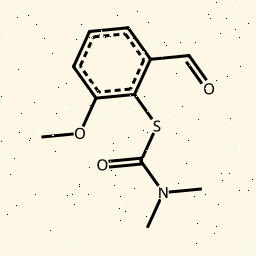 COc1cccc(C=O)c1SC(=O)N(C)C